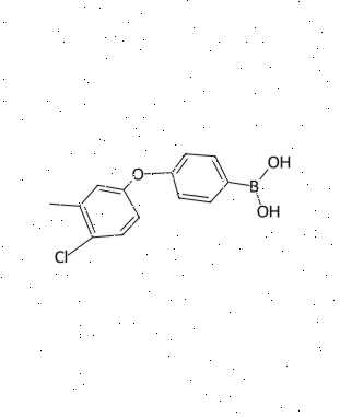 Cc1cc(Oc2ccc(B(O)O)cc2)ccc1Cl